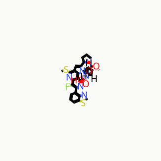 COC(=O)N1CCCC1c1cc2c(SC)nc3c(F)c(-c4cccc5scnc45)ncc3c2n1[C@H]1[C@@H]2C[C@H]1N(C(=O)O)C2